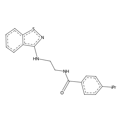 CC(C)c1ccc(C(=O)NCCNc2nsc3ccccc23)cc1